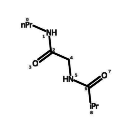 CCCNC(=O)CNC(=O)C(C)C